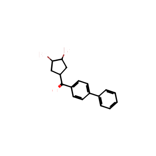 O=C(c1ccc(-c2ccccc2)cc1)C1CC(Br)C(Br)C1